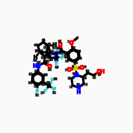 COc1ccc(S(=O)(=O)N2CCNCC2CCO)cc1C(=O)N[C@H]1[C@@H](C(=O)Nc2ccc(F)c(C(F)(F)F)c2)[C@H]2CC[C@@H]1/C2=C\C(F)(F)F